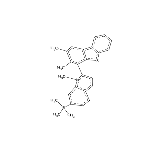 Cc1cc2c(sc3ccccc32)c(-c2ccc3ccc([Si](C)(C)C)cc3[n+]2C)c1C